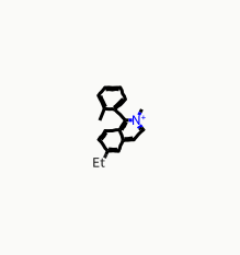 CCc1ccc2c(-c3ccccc3C)[n+](C)ccc2c1